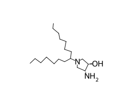 CCCCCCCC(CCCCCCC)N1C[C@@H](N)[C@H](O)C1